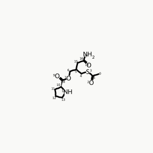 CC(=O)SCC(COC(=O)[C@@H]1CCCN1)CC(N)=O